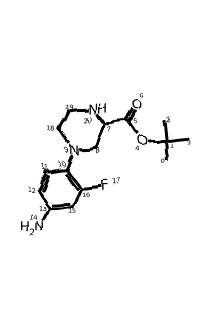 CC(C)(C)OC(=O)C1CN(c2ccc(N)cc2F)CCN1